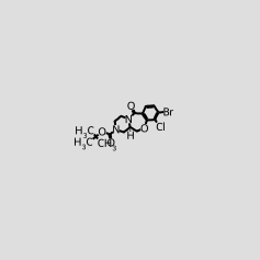 CC(C)(C)OC(=O)N1CCN2C(=O)c3ccc(Br)c(Cl)c3OC[C@H]2C1